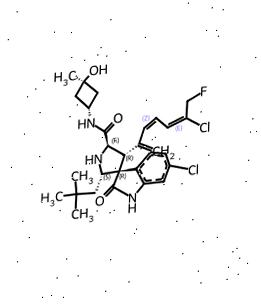 C=C(/C=C\C=C(\Cl)CF)[C@H]1[C@H](C(=O)N[C@H]2C[C@](C)(O)C2)N[C@@H](CC(C)(C)C)[C@@]12C(=O)Nc1cc(Cl)ccc12